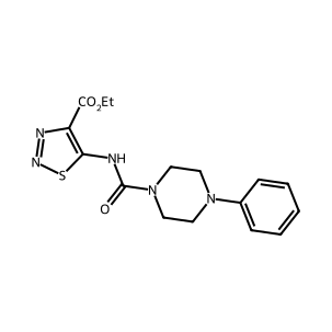 CCOC(=O)c1nnsc1NC(=O)N1CCN(c2ccccc2)CC1